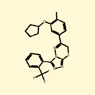 Cc1ccc(C2=Nn3c(nnc3-c3ccccc3C(F)(F)F)SC2)cc1OC1CCCC1